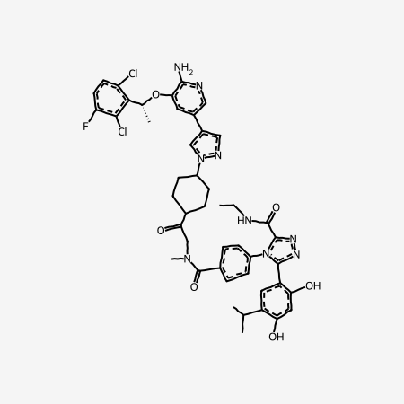 CCNC(=O)c1nnc(-c2cc(C(C)C)c(O)cc2O)n1-c1ccc(C(=O)N(C)CC(=O)C2CCC(n3cc(-c4cnc(N)c(O[C@H](C)c5c(Cl)ccc(F)c5Cl)c4)cn3)CC2)cc1